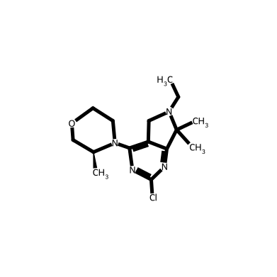 CCN1Cc2c(N3CCOC[C@@H]3C)nc(Cl)nc2C1(C)C